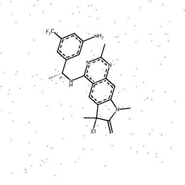 C=C1N(C)c2cc3nc(C)nc(N[C@H](C)c4cc(N)cc(C(F)(F)F)c4)c3cc2C1(C)CC